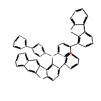 c1ccc(-c2ccc(N(c3ccc(-c4cccc5c4oc4ccccc45)cc3)c3c(-c4ccccc4)ccc4oc5cc6ccccc6cc5c34)cc2)cc1